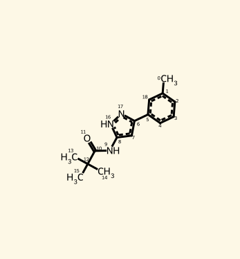 Cc1cccc(-c2cc(NC(=O)C(C)(C)C)[nH]n2)c1